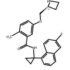 Cc1ccc(OC[C@@H]2CCN2)cc1C(=O)NC1(c2cccc3cc(F)ccc23)CC1